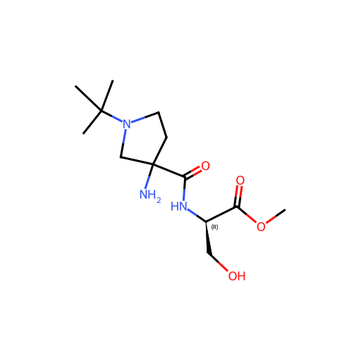 COC(=O)[C@@H](CO)NC(=O)C1(N)CCN(C(C)(C)C)C1